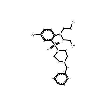 O=[N+]([O-])c1ccc(N(CCO)CCO)c(S(=O)(=O)N2CCN(Cc3ccccn3)CC2)c1